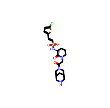 O=C(CN1CCC[C@H](NS(=O)(=O)/C=C/c2ccc(Cl)s2)C1=O)N1CC2CNCC(C2)C1